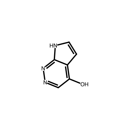 Oc1cnnc2[nH]ccc12